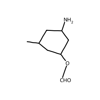 CC1CC(N)CC(OC=O)C1